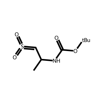 CC(C=S(=O)=O)NC(=O)OC(C)(C)C